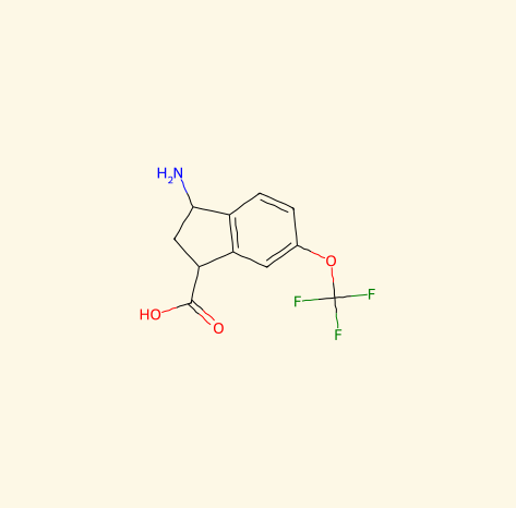 NC1CC(C(=O)O)c2cc(OC(F)(F)F)ccc21